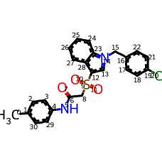 Cc1ccc(NC(=O)CS(=O)(=O)c2cn(Cc3ccc(Cl)cc3)c3ccccc23)cc1